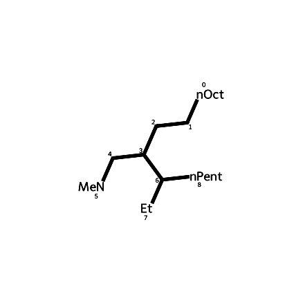 CCCCCCCCCCC(CNC)C(CC)CCCCC